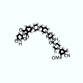 COc1cc(N2C[C@@H](C)N(C(=O)Nc3cnc(N4CCC(CN5CCN(c6ccc7c(c6)C(=O)N(C6CCC(=O)NC6=O)C7=O)CC5)CC4)nc3)C[C@@H]2C)cc(F)c1C#N